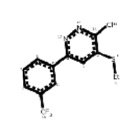 CCSc1cc(-c2cccc(C(F)(F)F)c2)nnc1Cl